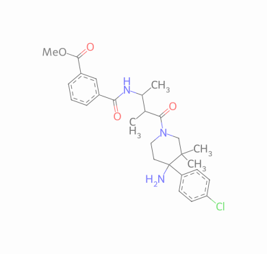 COC(=O)c1cccc(C(=O)NC(C)C(C)C(=O)N2CCC(N)(c3ccc(Cl)cc3)C(C)(C)C2)c1